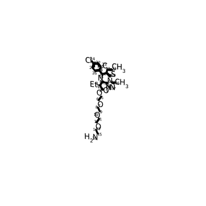 CC[C@@H](C(=O)OCCOCCOCCOCCN)[C@@H]1N=C(c2ccc(Cl)cc2)c2c(sc(C)c2C)-n2c(C)nnc21